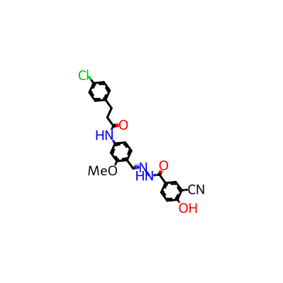 COc1cc(NC(=O)CCc2ccc(Cl)cc2)ccc1/C=N/NC(=O)c1ccc(O)c(C#N)c1